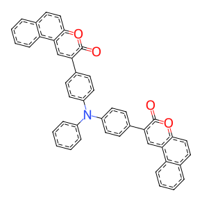 O=c1oc2ccc3ccccc3c2cc1-c1ccc(N(c2ccccc2)c2ccc(-c3cc4c(ccc5ccccc54)oc3=O)cc2)cc1